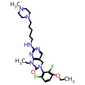 CCOc1ccc(F)c(N2Cc3cnc(NCCCCCN4CCN(C)CC4)nc3N(CC)C2=O)c1F